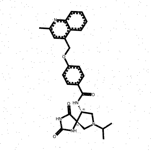 Cc1cc(COc2ccc(C(=O)N[C@@H]3CN(C(C)C)C[C@]34NC(=O)NC4=O)cc2)c2ccccc2n1